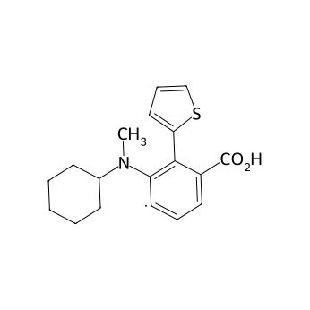 CN(c1[c]ccc(C(=O)O)c1-c1cccs1)C1CCCCC1